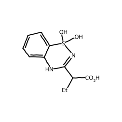 CCC(C(=O)O)C1=NS(O)(O)c2ccccc2N1